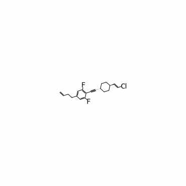 C=CCCc1cc(F)c(C#C[C@H]2CC[C@H](C=CCl)CC2)c(F)c1